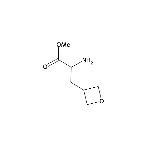 COC(=O)C(N)CC1COC1